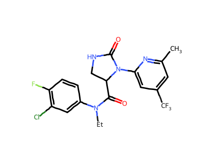 CCN(C(=O)C1CNC(=O)N1c1cc(C(F)(F)F)cc(C)n1)c1ccc(F)c(Cl)c1